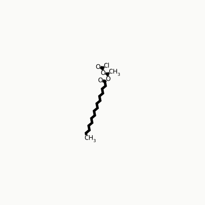 CCCCCCCCCCCCCCCC(=O)OC(C)OC(=O)Cl